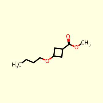 CCCCOC1CC(C(=O)OC)C1